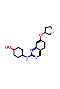 OC1CCC(Nc2ncc3ccc(OC4CCOC4)cc3n2)CC1